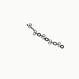 C=CC(=O)OCCCCOC(=O)c1ccc(C(=O)Oc2ccc(OC(=O)C3CCC(C(=O)Oc4ccccc4)CC3)cc2)cc1